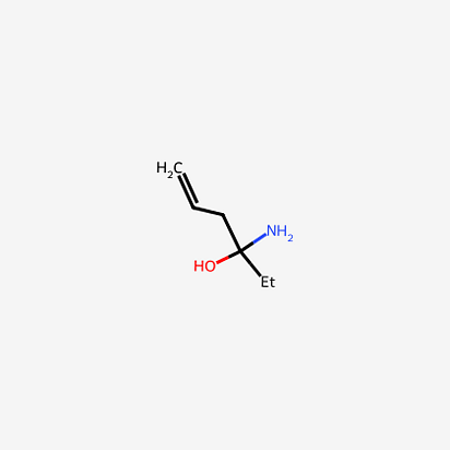 C=CCC(N)(O)CC